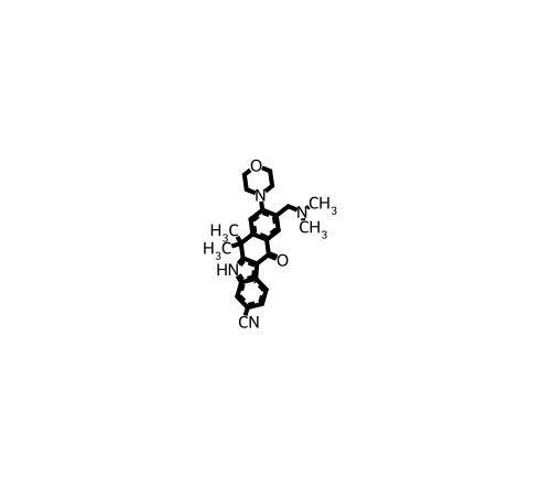 CN(C)Cc1cc2c(cc1N1CCOCC1)C(C)(C)c1[nH]c3cc(C#N)ccc3c1C2=O